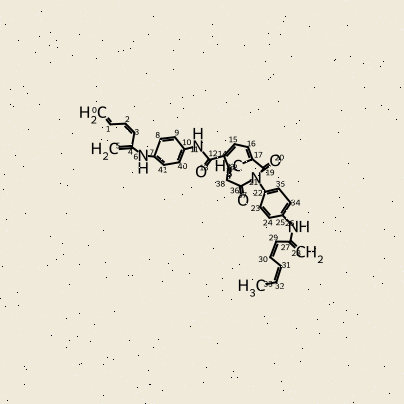 C=C/C=C\C(=C)Nc1ccc(NC(=O)C2=C/C=C(\C)C(=O)N(c3ccc(NC(=C)/C=C\C=C/C)cc3)C(=O)\C=C\2)cc1